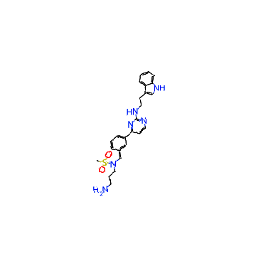 CS(=O)(=O)N(CCCN)Cc1cccc(-c2ccnc(NCCc3c[nH]c4ccccc34)n2)c1